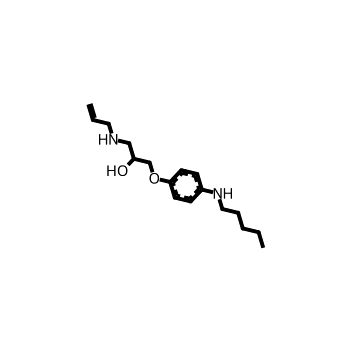 C=CCNCC(O)COc1ccc(NCCCCC)cc1